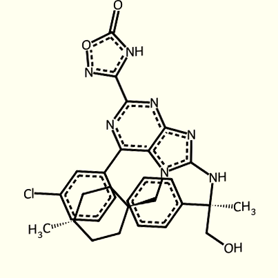 C[C@@](CO)(Nc1nc2nc(-c3noc(=O)[nH]3)nc(-c3cccc(Cl)c3)c2n1C[C@H]1CC[C@H](C)CC1)c1ccccc1